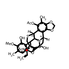 C=CCN1C2c3c(cc(C)c(OC)c3O)CC1[C@H](O)N1C2[C@@H]2SCC(NC(C)=O)C(=O)OC[C@H]1c1c3c(c(C)c(OC(C)=O)c12)OCO3